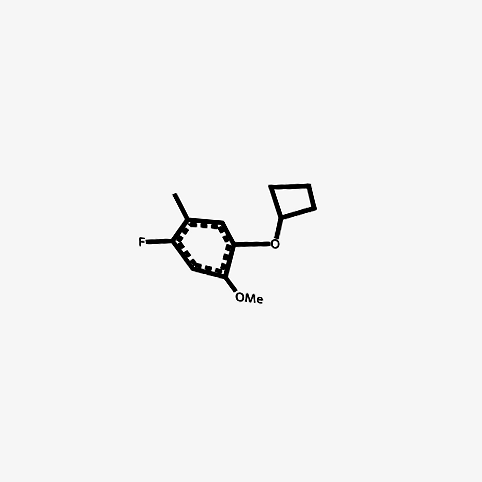 COc1cc(F)c(C)cc1OC1CCC1